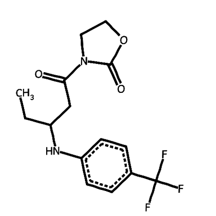 CCC(CC(=O)N1CCOC1=O)Nc1ccc(C(F)(F)F)cc1